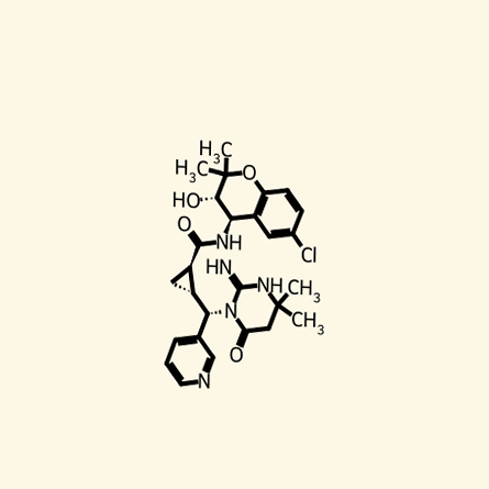 CC1(C)CC(=O)N([C@H](c2cccnc2)[C@@H]2C[C@H]2C(=O)N[C@@H]2c3cc(Cl)ccc3OC(C)(C)[C@H]2O)C(=N)N1